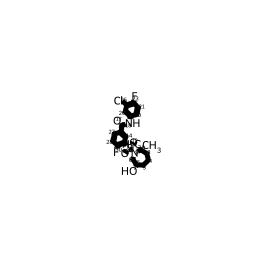 CC1(C)CCCC(O)CN1S(=O)(=O)c1cc(C(=O)Nc2ccc(F)c(Cl)c2)ccc1F